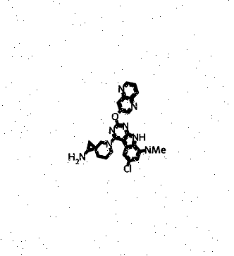 CNc1cc(Cl)cc2c1[nH]c1nc(Oc3cnc4cccnc4c3)nc(N3CCCC4(CC4N)C3)c12